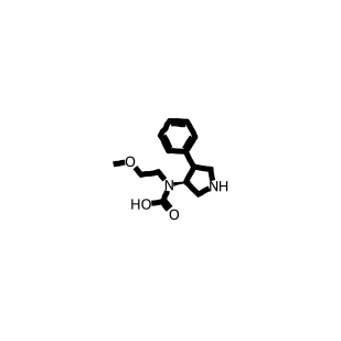 COCCN(C(=O)O)[C@@H]1CNCC1c1ccccc1